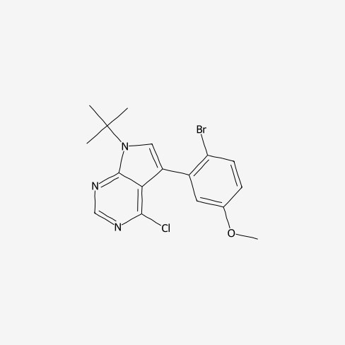 COc1ccc(Br)c(-c2cn(C(C)(C)C)c3ncnc(Cl)c23)c1